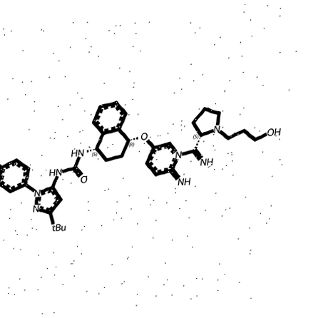 Cc1ccc(-n2nc(C(C)(C)C)cc2NC(=O)N[C@H]2CC[C@@H](Oc3ccc(=N)n(C(=N)[C@@H]4CCCN4CCCO)c3)c3ccccc32)cc1